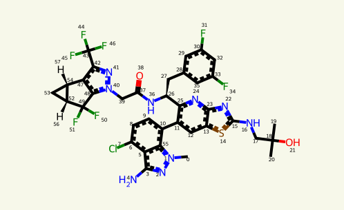 Cn1nc(N)c2c(Cl)ccc(-c3cc4sc(NCC(C)(C)O)nc4nc3[C@H](Cc3cc(F)cc(F)c3)NC(=O)Cn3nc(C(F)(F)F)c4c3C(F)(F)[C@@H]3C[C@H]43)c21